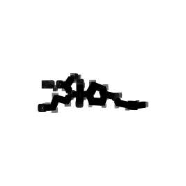 CC#CCOc1ccc(S(=O)(=O)N(CCCCl)C(C(=O)O)C(C)C)cc1